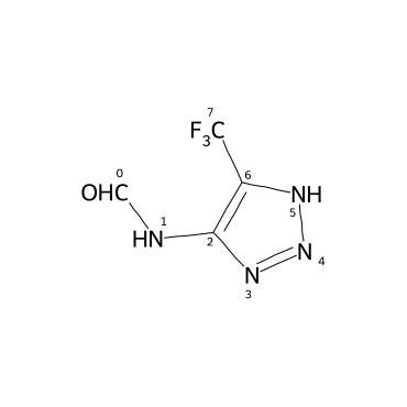 O=CNc1nn[nH]c1C(F)(F)F